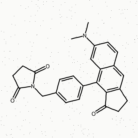 CN(C)c1ccc2cc3c(c(-c4ccc(CN5C(=O)CCC5=O)cc4)c2c1)C(=O)CC3